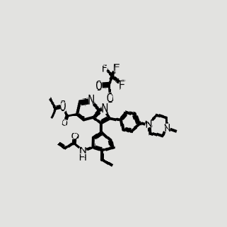 C=CC(=O)Nc1cc(-c2c(-c3ccc(N4CCN(C)CC4)cc3)n(OC(=O)C(F)(F)F)c3ncc(C(=O)OC(C)C)cc23)ccc1CC